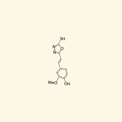 COc1cc(/C=C/c2nnc(S)o2)ccc1O